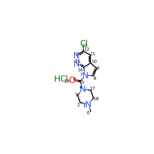 CN1CCN(C(=O)n2ccc3cc(Cl)nnc32)CC1.Cl